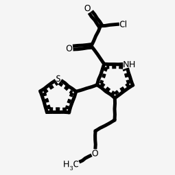 COCCc1c[nH]c(C(=O)C(=O)Cl)c1-c1cccs1